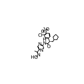 CC(=NO)c1cnc(NC(=O)[C@H](CC2CCCC2)c2ccc(S(C)(=O)=O)c(Cl)c2)cn1